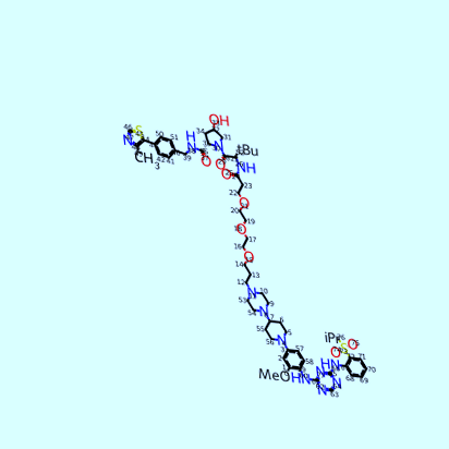 COc1cc(N2CCC(N3CCN(CCCOCCOCCOCCC(=O)NC(C(=O)N4C[C@H](O)C[C@H]4C(=O)NCc4ccc(-c5scnc5C)cc4)C(C)(C)C)CC3)CC2)ccc1Nc1ncnc(Nc2ccccc2S(=O)(=O)C(C)C)n1